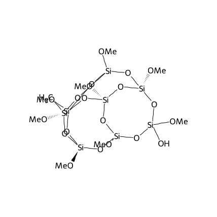 CO[Si]1(O)O[Si]2(OC)O[Si@@]3(OC)O[Si]4(OC)O[Si](OC)(O[Si@@](C)(OC)O3)O[Si@@](OC)(O1)O[Si@@](OC)(O2)O4